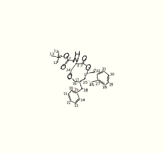 C[C@@H]1OC(=O)[C@@H](NC(=O)OC(C)(C)C)COC[C@H](Cc2ccccc2)[C@H]1Cc1ccccc1